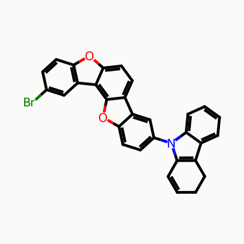 Brc1ccc2oc3ccc4c5cc(-n6c7c(c8ccccc86)CCC=C7)ccc5oc4c3c2c1